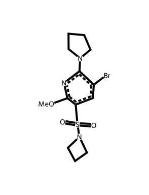 COc1nc(N2CCCC2)c(Br)cc1S(=O)(=O)N1CCC1